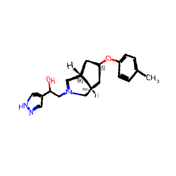 Cc1ccc(O[C@H]2C[C@@H]3CN(CC(O)c4cn[nH]c4)C[C@@H]3C2)cc1